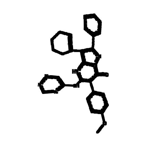 COc1ccc(-c2c(Nc3cnncn3)[nH]c3c(C4=CCCCC4)c(-c4ccccc4)nn3c2=O)cc1